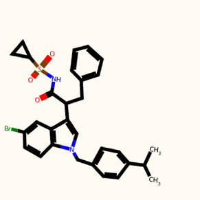 CC(C)c1ccc(Cn2cc(C(Cc3ccccc3)C(=O)NS(=O)(=O)C3CC3)c3cc(Br)ccc32)cc1